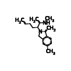 C=CCCC(C(=C)NC)N1Cc2cc(C)ccc2C1=C